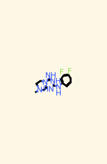 CN1CCN(C(=N)NC(=N)NC2=CC(F)=C(F)CC=C2)CC1